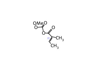 C/C=C(\C)C(=O)OC(=O)OOC